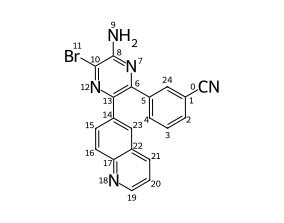 N#Cc1cccc(-c2nc(N)c(Br)nc2-c2ccc3ncccc3c2)c1